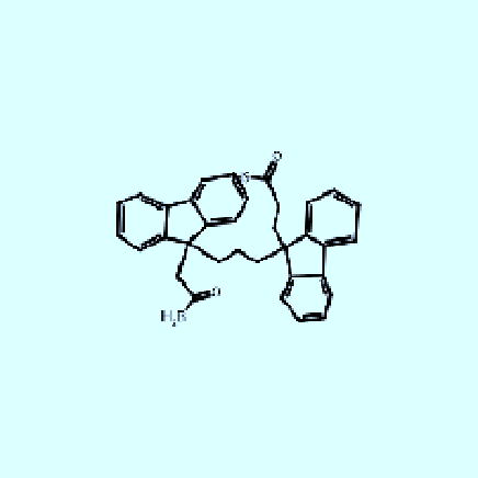 BC(=O)CC1(CCCC2(CCC(=O)S)c3ccccc3-c3ccccc32)c2ccccc2-c2ccccc21